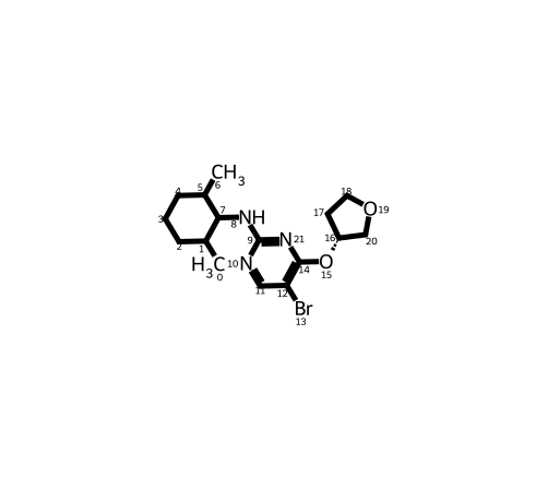 CC1CCCC(C)C1Nc1ncc(Br)c(O[C@@H]2CCOC2)n1